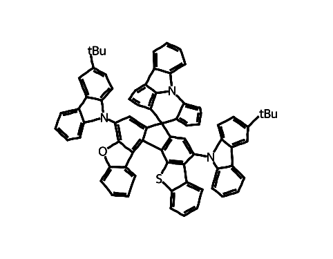 CC(C)(C)c1ccc2c(c1)c1ccccc1n2-c1cc2c(c3c1oc1ccccc13)-c1c(cc(-n3c4ccccc4c4cc(C(C)(C)C)ccc43)c3c1sc1ccccc13)C21c2ccccc2-n2c3ccccc3c3cccc1c32